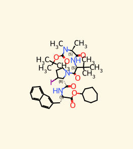 C[C@@H](C(=O)N[C@H](C(=O)N1CCC(I)[C@H]1C(=O)N[C@@H](Cc1ccc2ccccc2c1)C(=O)OC1CCCCCC1)C(C)(C)C)N(C)C(=O)OC(C)(C)C